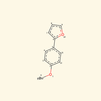 CCCCOc1ccc(-c2ccco2)cc1